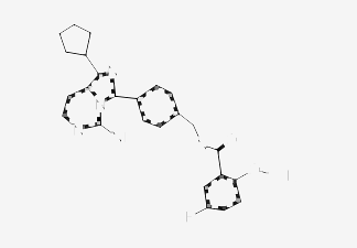 COc1ccc(F)cc1C(=O)NCc1ccc(-c2nc(C3CCCC3)c3ccnc(N)n23)cc1